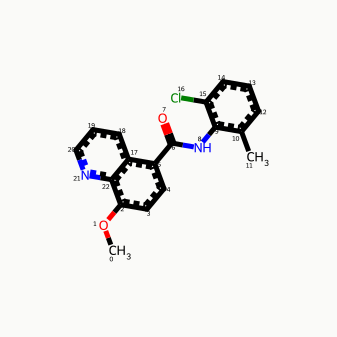 COc1ccc(C(=O)Nc2c(C)cccc2Cl)c2cccnc12